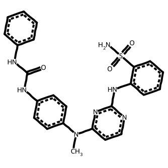 CN(c1ccc(NC(=O)Nc2ccccc2)cc1)c1ccnc(Nc2ccccc2S(N)(=O)=O)n1